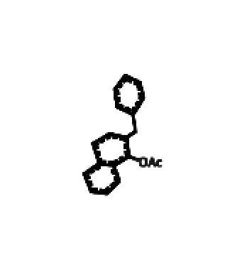 CC(=O)Oc1c(Cc2ccccc2)ccc2ccccc12